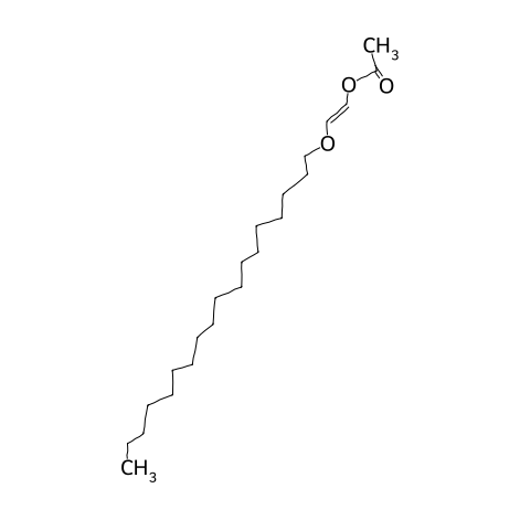 CCCCCCCCCCCCCCCCCCOC=COC(C)=O